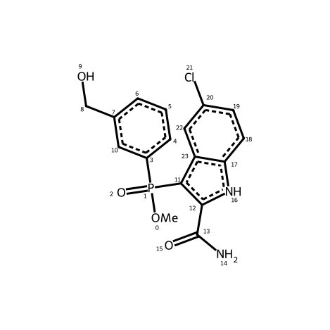 COP(=O)(c1cccc(CO)c1)c1c(C(N)=O)[nH]c2ccc(Cl)cc12